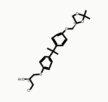 CC(=O)O[C@H](CCl)COc1ccc(C(C)(C)c2ccc(OC[C@H]3COC(C)(C)O3)cc2)cc1